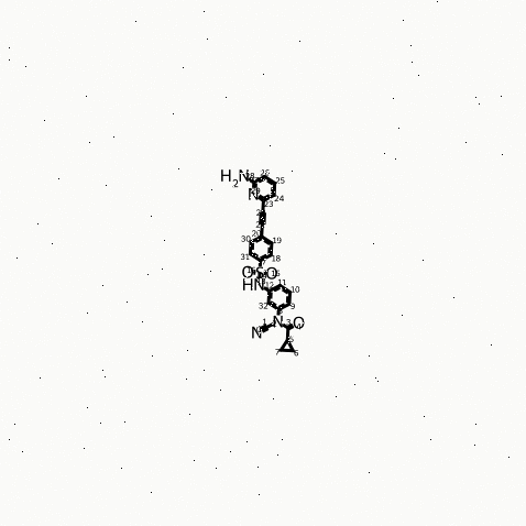 N#CN(C(=O)C1CC1)c1cccc(NS(=O)(=O)c2ccc(C#Cc3cccc(N)n3)cc2)c1